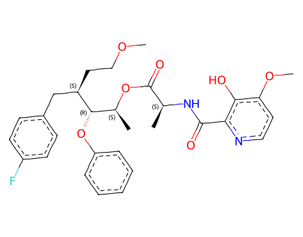 COCC[C@H](Cc1ccc(F)cc1)[C@@H](Oc1ccccc1)[C@H](C)OC(=O)[C@H](C)NC(=O)c1nccc(OC)c1O